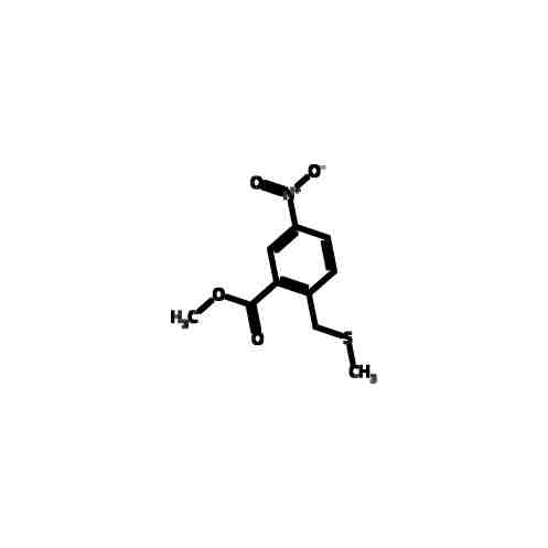 COC(=O)c1cc([N+](=O)[O-])ccc1CSC